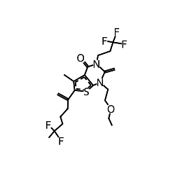 C=C(CCCC(C)(F)F)c1sc2c(c1C)C(=O)N(CCC(F)(F)F)C(=C)N2CCOCC